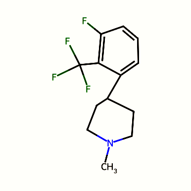 CN1CCC(c2cccc(F)c2C(F)(F)F)CC1